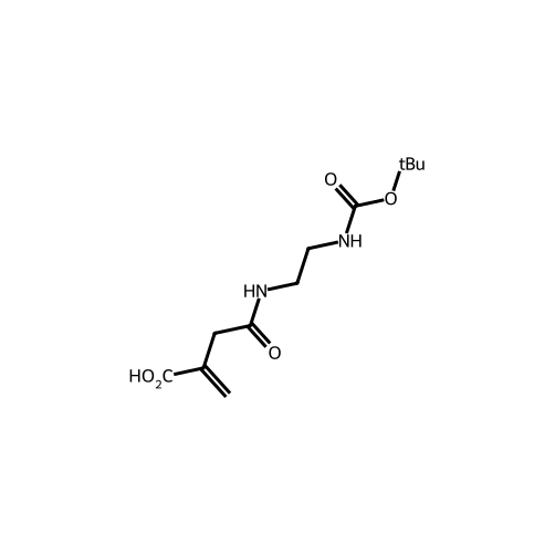 C=C(CC(=O)NCCNC(=O)OC(C)(C)C)C(=O)O